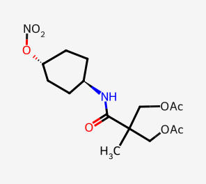 CC(=O)OCC(C)(COC(C)=O)C(=O)N[C@H]1CC[C@H](O[N+](=O)[O-])CC1